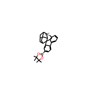 CC1(C)OB(c2ccc3c(c2)C2(c4c(C#N)cccc4-3)C3CC4CC(C3)CC2C4)OC1(C)C